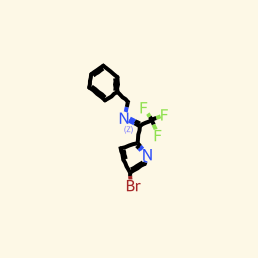 FC(F)(F)/C(=N\Cc1ccccc1)c1ccc(Br)cn1